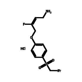 CC(C)CS(=O)(=O)c1ccc(OC/C(F)=C\CN)cc1.Cl